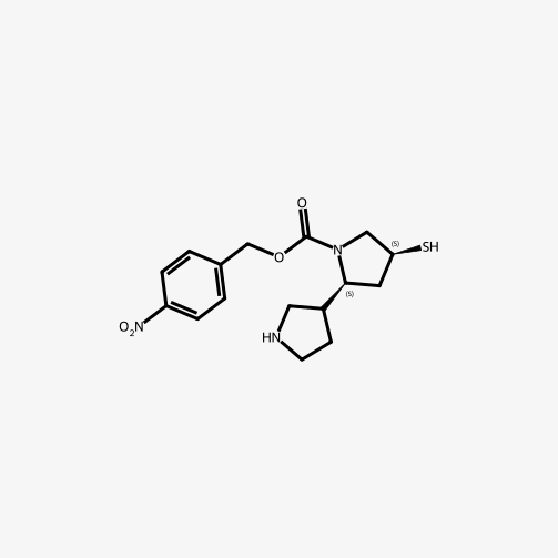 O=C(OCc1ccc([N+](=O)[O-])cc1)N1C[C@@H](S)C[C@H]1C1CCNC1